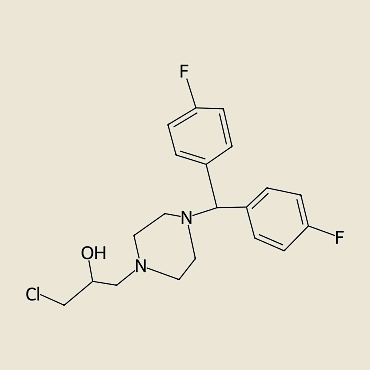 OC(CCl)CN1CCN(C(c2ccc(F)cc2)c2ccc(F)cc2)CC1